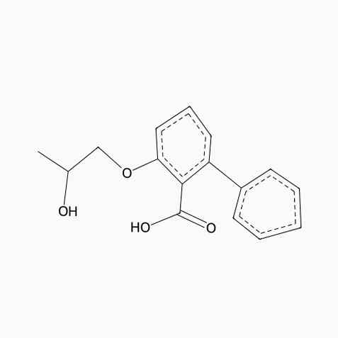 CC(O)COc1cccc(-c2ccccc2)c1C(=O)O